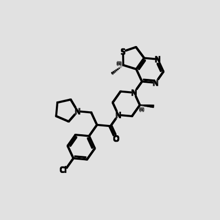 C[C@@H]1SCc2ncnc(N3CCN(C(=O)C(CN4CCCC4)c4ccc(Cl)cc4)C[C@@H]3C)c21